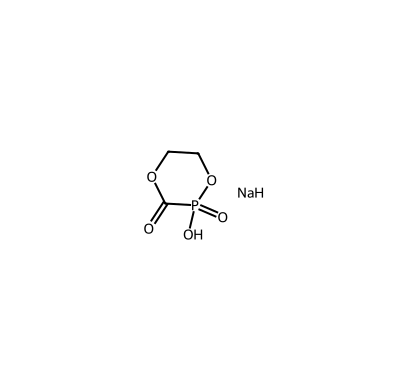 O=C1OCCOP1(=O)O.[NaH]